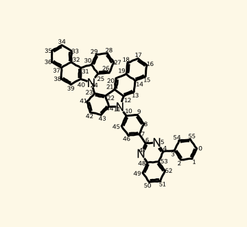 c1ccc(-c2nc(-c3ccc(-n4c5cc6ccccc6cc5c5c(-n6c7ccccc7c7c8ccccc8ccc76)cccc54)cc3)nc3ccccc23)cc1